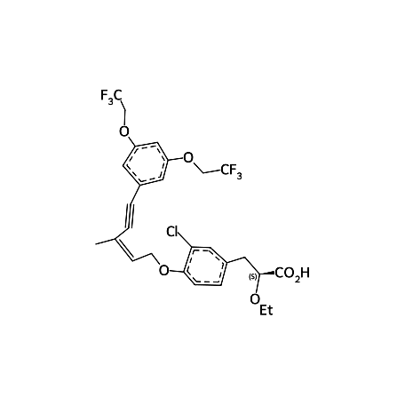 CCO[C@@H](Cc1ccc(OCC=C(C)C#Cc2cc(OCC(F)(F)F)cc(OCC(F)(F)F)c2)c(Cl)c1)C(=O)O